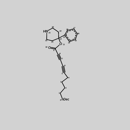 CCCCCCCCCCCCCCC#CC#CC(=O)OC1(c2ccccc2)CCNCC1